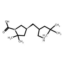 CC(C)(C)CC(CO)C[C@@H]1CN(C(=O)O)C(C)(C)C1